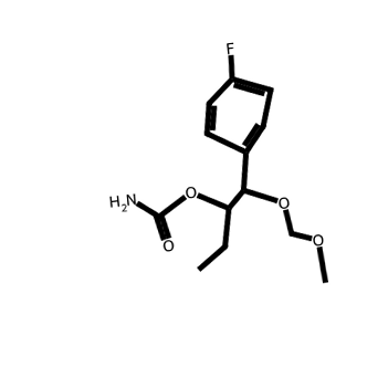 CCC(OC(N)=O)C(OCOC)c1ccc(F)cc1